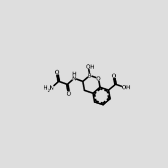 NC(=O)C(=O)NC1Cc2cccc(C(=O)O)c2OB1O